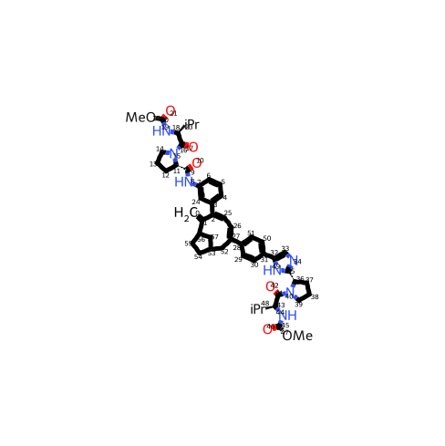 C=C1/C(c2cccc(NC(=O)[C@@H]3CCCN3C(=O)[C@@H](NC(=O)OC)C(C)C)c2)=C\C=C(\c2ccc(-c3cnc([C@@H]4CCCN4C(=O)[C@@H](NC(=O)OC)C(C)C)[nH]3)cc2)CC2CCC1C2